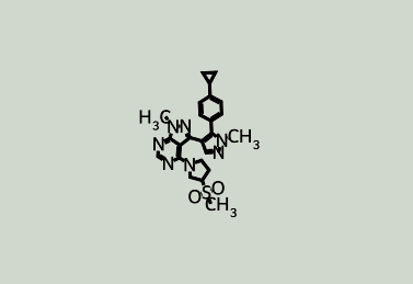 Cn1ncc(-c2nn(C)c3ncnc(N4CCC(S(C)(=O)=O)C4)c23)c1-c1ccc(C2CC2)cc1